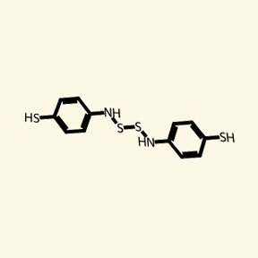 Sc1ccc(NSSNc2ccc(S)cc2)cc1